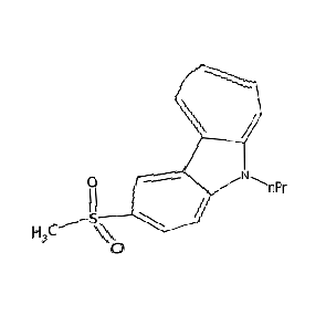 CCCn1c2ccccc2c2cc(S(C)(=O)=O)ccc21